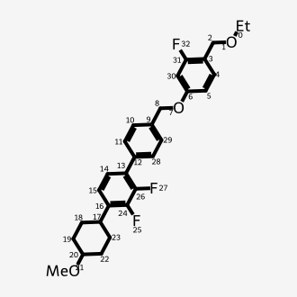 CCOCc1ccc(OCc2ccc(-c3ccc(C4CCC(OC)CC4)c(F)c3F)cc2)cc1F